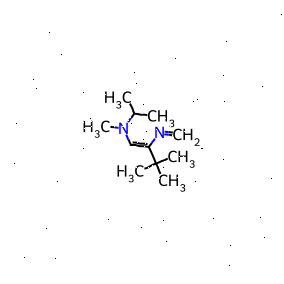 C=N/C(=C\N(C)C(C)C)C(C)(C)C